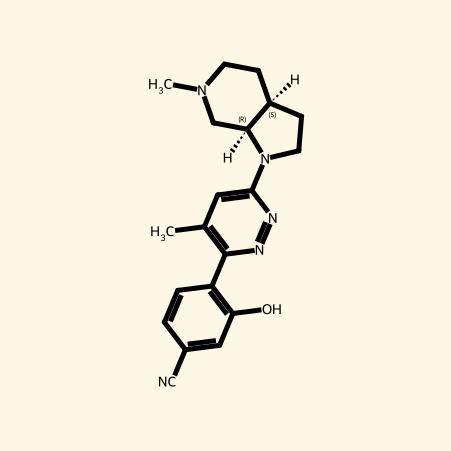 Cc1cc(N2CC[C@@H]3CCN(C)C[C@@H]32)nnc1-c1ccc(C#N)cc1O